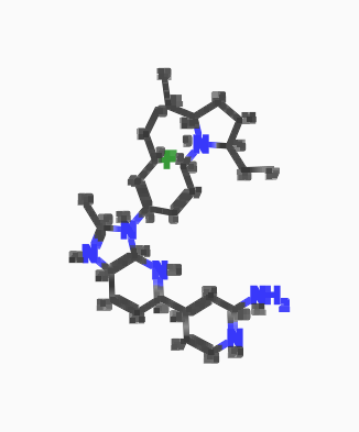 CCC(F)/C=C(\C=C/CN1C(CC)CCC1CC)n1c(C)nc2ccc(-c3ccnc(N)c3)nc21